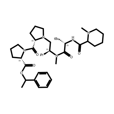 CC(OC(=O)[C@@H]1CCCN1C(=O)[C@@H]1CCCN1C[C@H](C(C)C)N(C)C(=O)[C@@H](NC(=O)C1CCCCN1C)C(C)(C)C)c1ccccc1